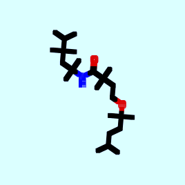 CC(C)CCC(C)(C)OCCC(C)(C)C(=O)NC(C)(C)CC(C)(C)C(C)C